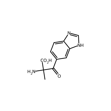 CC(N)(C(=O)O)C(=O)c1ccc2nc[nH]c2c1